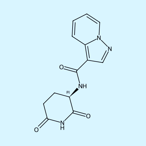 O=C1CC[C@@H](NC(=O)c2cnn3ccccc23)C(=O)N1